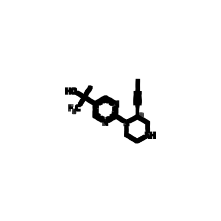 CC#C[C@H]1CNCCN1c1ncc(C(C)(O)C(F)(F)F)cn1